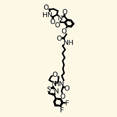 O=C(COc1cccc2c1C(=O)N(C1CCC(=O)NC1=O)C2=O)NCCCCCCCCCCNC(=O)COc1c(-c2csc(N3CCOCC3)n2)ccc(F)c1F